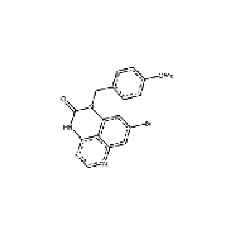 COc1ccc(CN2C(=O)Nc3ncnc4cc(Br)cc2c34)cc1